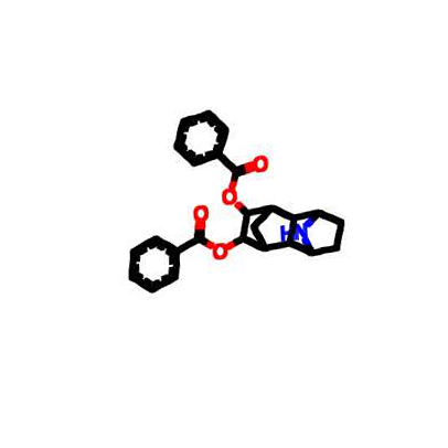 O=C(OC1C2CC(C1OC(=O)c1ccccc1)C1C3CCC(N3)C21)c1ccccc1